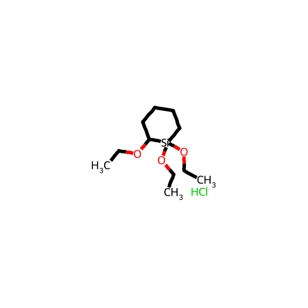 CCOC1CCCC[Si]1(OCC)OCC.Cl